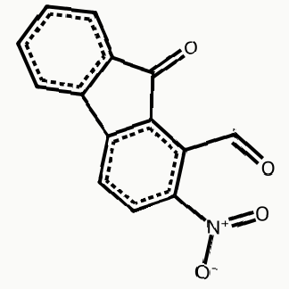 O=[C]c1c([N+](=O)[O-])ccc2c1C(=O)c1ccccc1-2